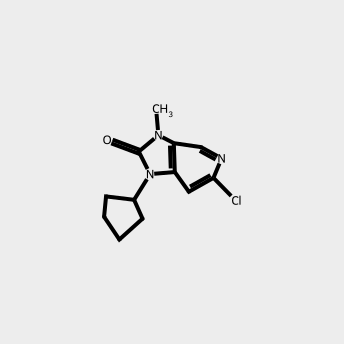 Cn1c(=O)n(C2CCCC2)c2cc(Cl)ncc21